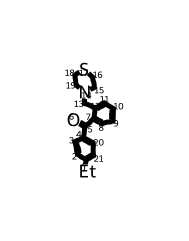 CCc1ccc(C(=O)c2ccccc2CN2CCSCC2)cc1